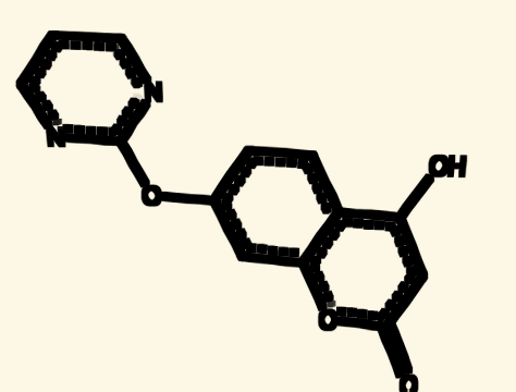 O=c1cc(O)c2ccc(Oc3ncccn3)cc2o1